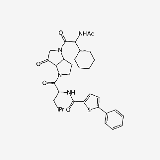 CC(=O)NC(C(=O)N1CC(=O)C2C1CCN2C(=O)C(CC(C)C)NC(=O)c1ccc(-c2ccccc2)s1)C1CCCCC1